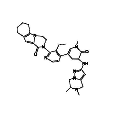 CCc1c(-c2cc(Nc3cc4n(n3)CC(C)N(C)C4)c(=O)n(C)c2)ccnc1N1CCn2c(cc3c2CCCC3)C1=O